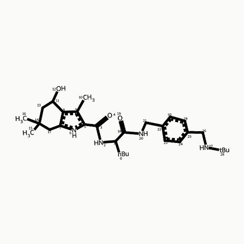 CCCCC(NC(=O)c1[nH]c2c(c1C)C(O)CC(C)(C)C2)C(=O)NCc1ccc(CNC(C)(C)C)cc1